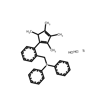 CC1=C(C)C(C)C(c2ccccc2CP(c2ccccc2)c2ccccc2)=C1C.Cl.Cl.[Ti]